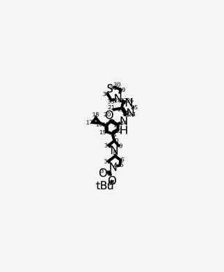 CC(C)(C)OC(=O)N1CCC(N2CC(c3cc4c(c(C5CC5)c3)OCc3c(ncnc3N3CCSCC3)N4)C2)C1